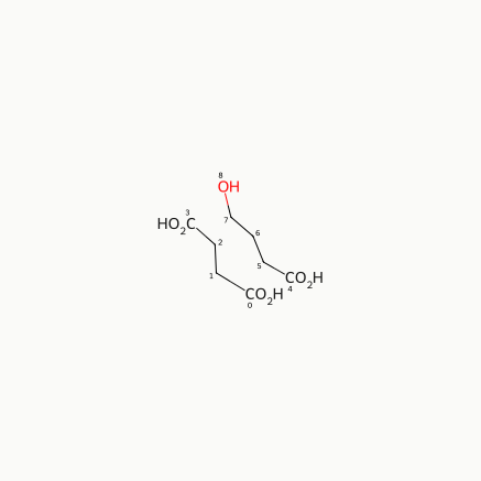 O=C(O)CCC(=O)O.O=C(O)CCCO